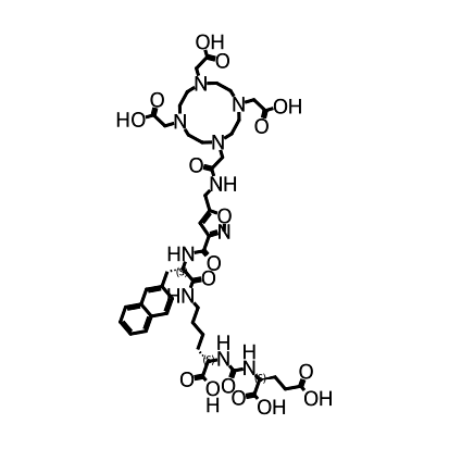 O=C(O)CC[C@H](NC(=O)N[C@@H](CCCCNC(=O)[C@H](Cc1ccc2ccccc2c1)NC(=O)c1cc(CNC(=O)CN2CCN(CC(=O)O)CCN(CC(=O)O)CCN(CC(=O)O)CC2)on1)C(=O)O)C(=O)O